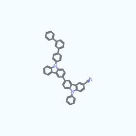 N#Cc1ccc2c(c1)c1cc(-c3ccc4c(c3)c3ccccc3n4-c3ccc(-c4cccc(-c5ccccc5)c4)cc3)ccc1n2-c1ccccc1